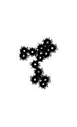 c1cc(-c2cccc(N(c3ccc(-c4cccc5ccccc45)cc3)c3ccc4c(c3)C3(c5ccccc5-c5ccccc53)c3ccccc3-4)c2)cc(-c2ccc3c(c2)c2ccccc2n3-c2cccc3ccccc23)c1